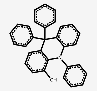 Oc1cccc2c1N(c1ccccc1)c1ccccc1C2(c1ccccc1)c1ccccc1